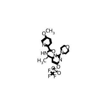 COc1ccc(C(=O)N[C@H](C)c2cc(OS(=O)(=O)C(F)(F)F)nc(N3CCOCC3)n2)nc1